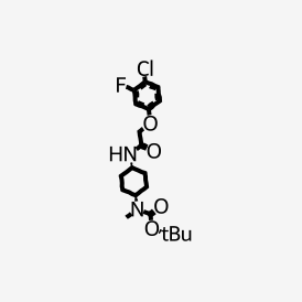 CN(C(=O)OC(C)(C)C)[C@H]1CC[C@H](NC(=O)COc2ccc(Cl)c(F)c2)CC1